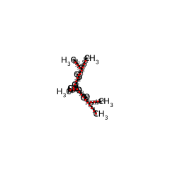 CCCCCCCC(CCCCCCC)CCCC(=O)OCCCCOc1cc(CN(C)C)cc(OCCCCOC(=O)CCCC(CCCCCCC)CCCCCCC)c1